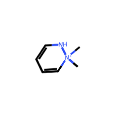 C[N+]1(C)C=CC=CN1